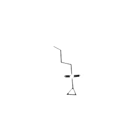 CCCCS(=O)(=O)C1CC1